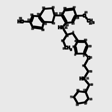 CCC(Cc1ccc(OCCNCC2CCCCC2)cc1)Nc1cc(OC)ccc1C1CCc2cc(O)ccc2C1